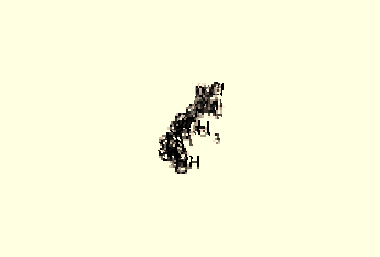 CC(OCCNc1cccc2c1C(=O)N(C1CCC(=O)NC1=O)C2=O)C(=O)N(C)CCOc1ccc(/C(=C(/CCCl)c2ccccc2)c2ccccc2)cc1